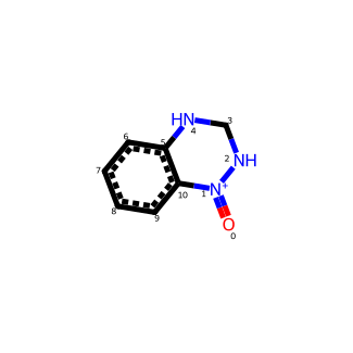 O=[N+]1NCNc2ccccc21